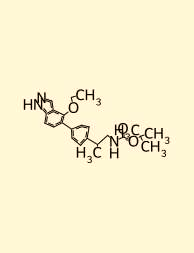 CCOc1c(-c2ccc(C(C)CNC(=O)OC(C)(C)C)cc2)ccc2[nH]ncc12